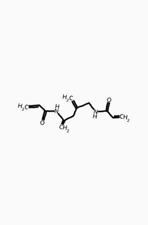 C=CC(=O)NCC(=C)CC(=C)NC(=O)C=C